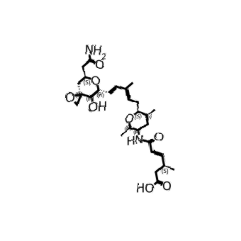 CC(C=C[C@H]1O[C@H](CC(N)=O)C[C@@]2(CO2)[C@@H]1O)=CC[C@@H]1O[C@H](C)[C@H](NC(=O)C=C[C@@H](C)CC(=O)O)C[C@@H]1C